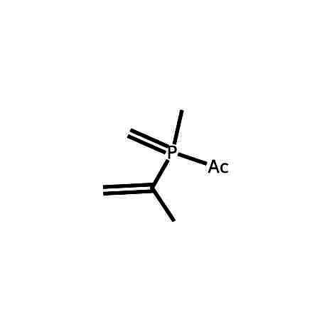 C=C(C)P(=C)(C)C(C)=O